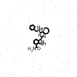 NC(=O)c1cccc2c(-c3nc4c(c(NCc5ccccc5)n3)NCCCC4)n[nH]c12